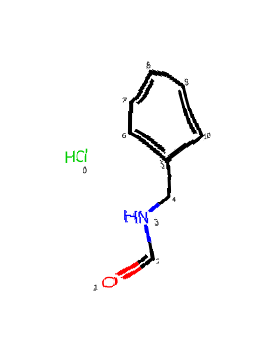 Cl.O=CNCc1ccccc1